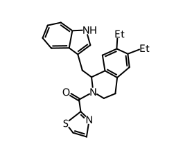 CCc1cc2c(cc1CC)C(Cc1c[nH]c3ccccc13)N(C(=O)c1nccs1)CC2